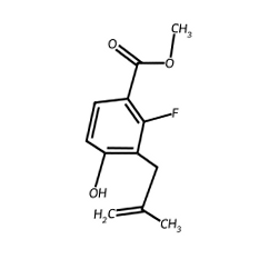 C=C(C)Cc1c(O)ccc(C(=O)OC)c1F